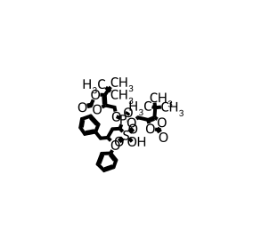 CC(C)(C)c1oc(=O)oc1COP(=O)(OCc1oc(=O)oc1C(C)(C)C)C(CC(Cc1ccccc1)Oc1ccccc1)S(=O)(=O)O